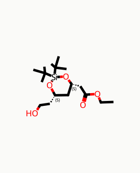 CCOC(=O)C[C@@H]1C[C@H](CCO)O[Si](C(C)(C)C)(C(C)(C)C)O1